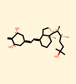 C=C1[C@H](O)CC(=C/C=C2\CCC[C@@]3(C)C2CC[C@@H]3[C@@H](C)[C@H](C)CCC(C)(C)O)C[C@H]1O